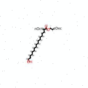 CCCCCCCCCCCCOC(=O)C(CCCCCCCC)CCCCCCCCCCCCCCCCO